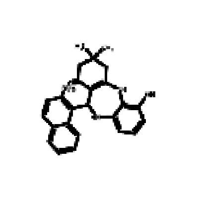 COc1ccc2ccccc2c1C1Nc2cccc(O)c2NC2=C1C(=O)CC(C)(C)C2